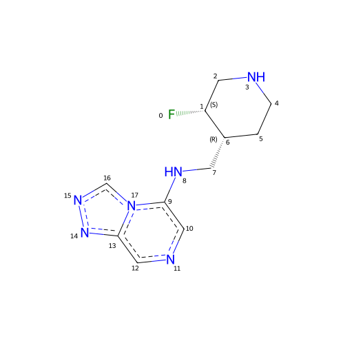 F[C@@H]1CNCC[C@@H]1CNc1cncc2nncn12